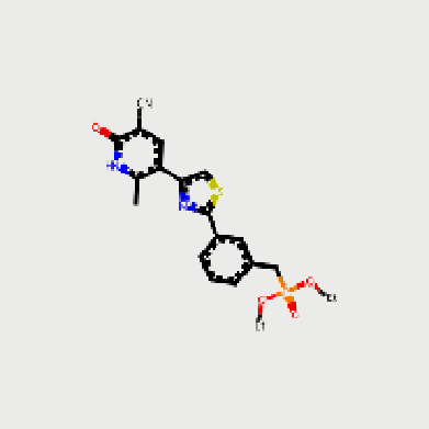 CCOP(=O)(Cc1cccc(-c2nc(-c3cc(C#N)c(=O)[nH]c3C)cs2)c1)OCC